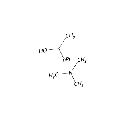 CN(C)C.[CH2]CCC(C)O